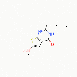 Bc1cc2c(=O)[nH]c(C)nc2s1